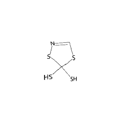 SC1(S)SC=NS1